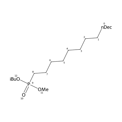 CCCCCCCCCCCCCCCCCCP(=O)(OC)OCC(C)C